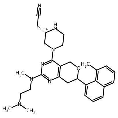 Cc1cccc2cccc(C3Cc4nc(N(C)CCN(C)C)nc(N5CCN[C@@H](CC#N)C5)c4CO3)c12